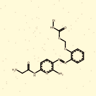 CCNC(=O)OCOc1ccccc1/N=N/c1ccc(NC(=O)CN)nc1N